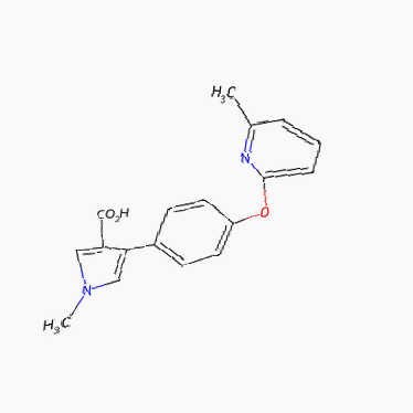 Cc1cccc(Oc2ccc(-c3cn(C)cc3C(=O)O)cc2)n1